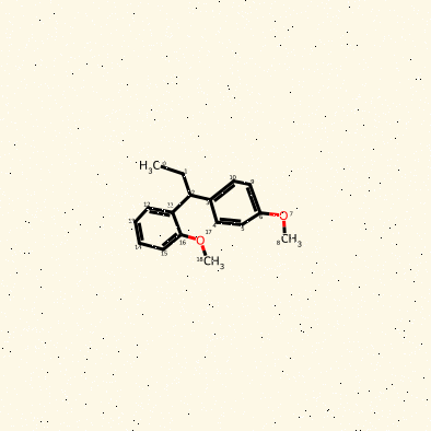 CCC(c1ccc(OC)cc1)c1ccccc1OC